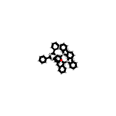 C1=CCC(c2nc(-c3ccccc3)nc(-c3cc4ccccc4c(-n4c5ccccc5c5ccc6c7ccccc7n(-c7ccccc7)c6c54)n3)n2)C=C1